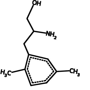 Cc1ccc(C)c(CC(N)CO)c1